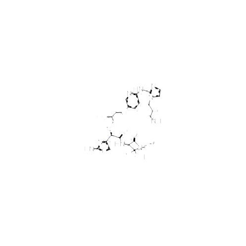 CC1(C)C(NC(=O)/C(=N\OC(COc2ccc(Nc3nccn3CCCN)nc2)C(=O)O)c2csc(N)n2)C(=O)N1OS(=O)(=O)O